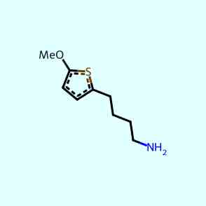 COc1ccc(CCCCN)s1